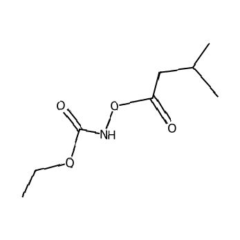 CCOC(=O)NOC(=O)CC(C)C